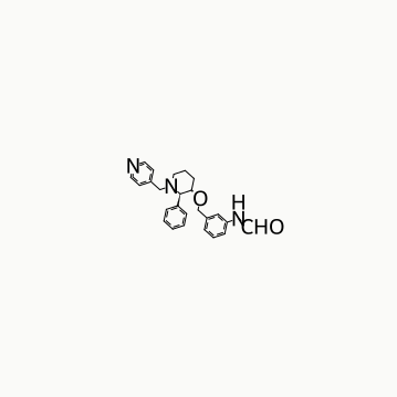 O=CNc1cccc(CO[C@@H]2CCCN(Cc3ccncc3)[C@@H]2c2ccccc2)c1